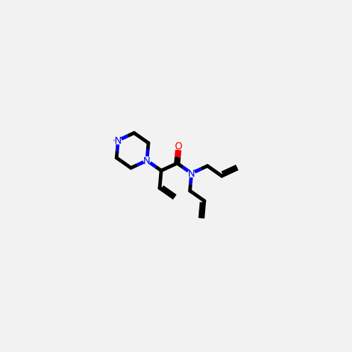 C=CCN(CC=C)C(=O)C(C=C)N1CC[N]CC1